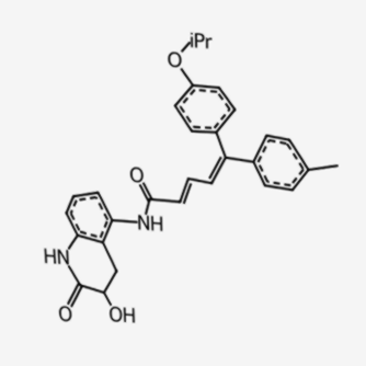 Cc1ccc(/C(=C/C=C/C(=O)Nc2cccc3c2CC(O)C(=O)N3)c2ccc(OC(C)C)cc2)cc1